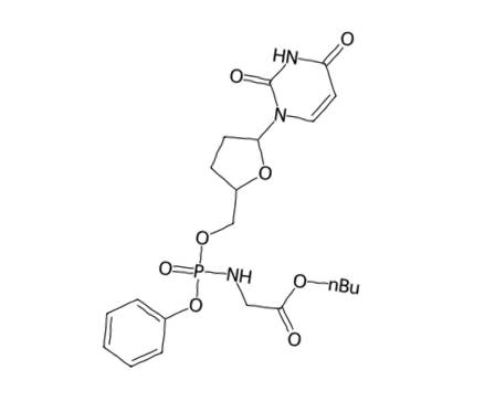 CCCCOC(=O)CNP(=O)(OCC1CCC(n2ccc(=O)[nH]c2=O)O1)Oc1ccccc1